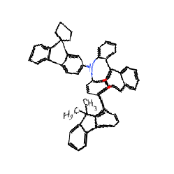 CC1(C)c2ccccc2-c2cccc(-c3ccc(N(c4ccc5c(c4)C4(CCCC4)c4ccccc4-5)c4ccccc4-c4cccc5ccccc45)cc3)c21